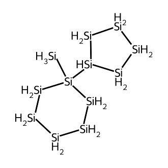 [SiH3][Si]1([SiH]2[SiH2][SiH2][SiH2][SiH2]2)[SiH2][SiH2][SiH2][SiH2][SiH2]1